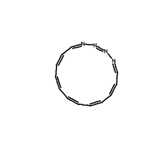 C1=CC=CC=CC=NN=NN=CC=CC=C1